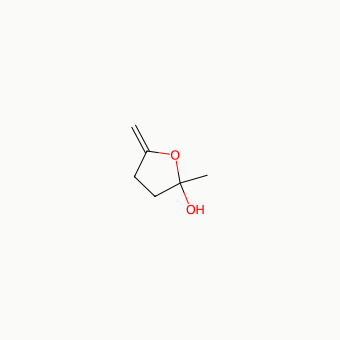 C=C1CCC(C)(O)O1